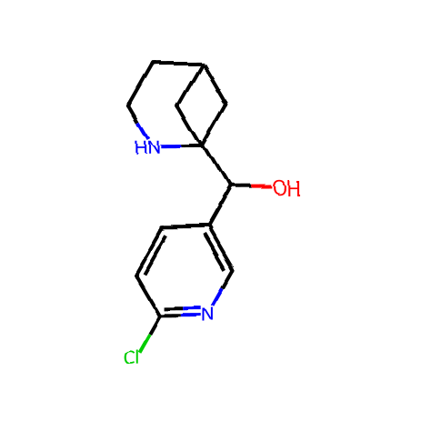 OC(c1ccc(Cl)nc1)C12CC(CCN1)C2